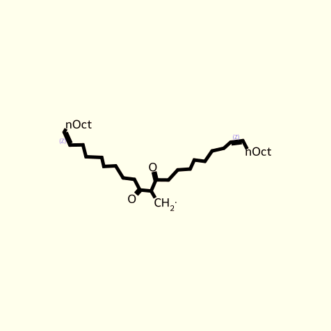 [CH2]C(C(=O)CCCCCCC/C=C\CCCCCCCC)C(=O)CCCCCCC/C=C\CCCCCCCC